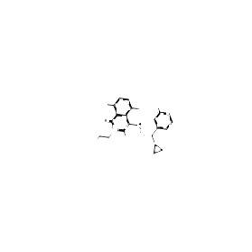 CCCn1c(C)c(C(=O)N[C@H](c2cccc(F)c2)C2CC2)c2c(F)ccc(F)c2c1=O